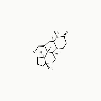 CN1C(=O)CC[C@@H]2[C@H]3CC[C@]4(C)CCC[C@H]4[C@@H]3/C(=C\Cl)C[C@H]21